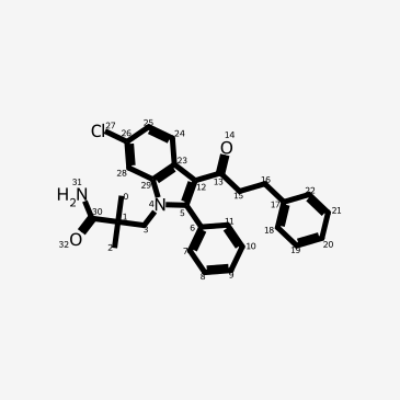 CC(C)(Cn1c(-c2ccccc2)c(C(=O)CCc2ccccc2)c2ccc(Cl)cc21)C(N)=O